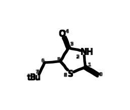 C=C1NC(=O)C(CC(C)(C)C)S1